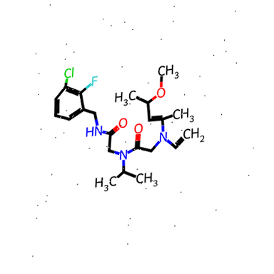 C=CN(CC(=O)N(CC(=O)NCc1cccc(Cl)c1F)C(C)C)C(C)=CC(C)OC